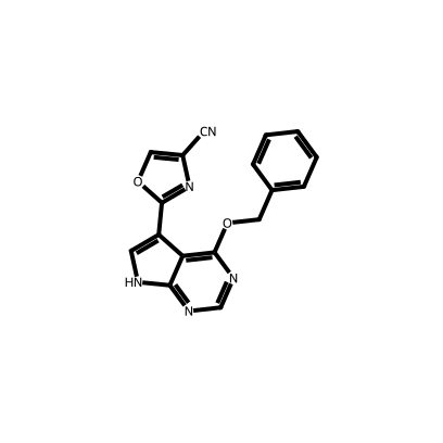 N#Cc1coc(-c2c[nH]c3ncnc(OCc4ccccc4)c23)n1